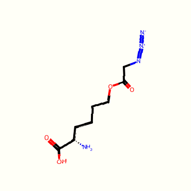 [N-]=[N+]=NCC(=O)OCCCC[C@H](N)C(=O)O